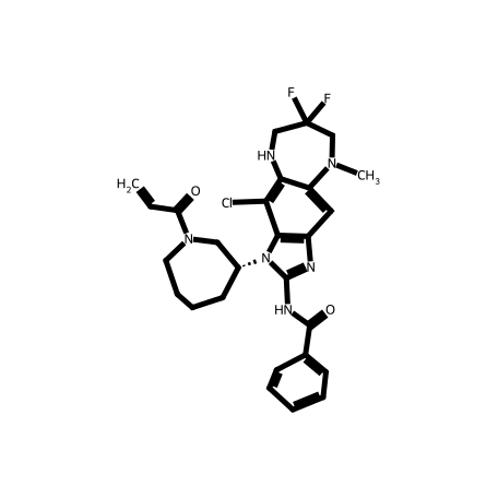 C=CC(=O)N1CCCC[C@@H](n2c(NC(=O)c3ccccc3)nc3cc4c(c(Cl)c32)NCC(F)(F)CN4C)C1